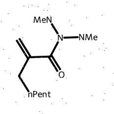 C=C(CCCCCC)C(=O)N(NC)NC